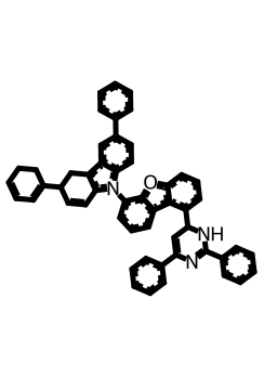 C1=CCCC(C2C=Cc3c(c4cc(-c5ccccc5)ccc4n3-c3cccc4c3oc3cccc(C5C=C(c6ccccc6)N=C(c6ccccc6)N5)c34)C2)=C1